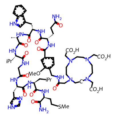 COc1cc(C(=O)N[C@@H](CCC(N)=O)C(=O)N[C@@H](Cc2c[nH]c3ccccc23)C(=O)N[C@@H](C)C(=O)N[C@H](C(=O)NCC(=O)N[C@@H](Cc2c[nH]cn2)C(=O)N[C@@H](CC(C)C)C(=O)N[C@@H](CCSC)C(N)=O)C(C)C)ccc1CNC(=O)CN1CCN(CC(=O)O)CCN(CC(=O)O)CCN(CC(=O)O)CC1